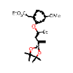 C=C(/C=C(\CC)Oc1cc(OC)ccc1CC(=O)OCC)B1OC(C)(C)C(C)(C)O1